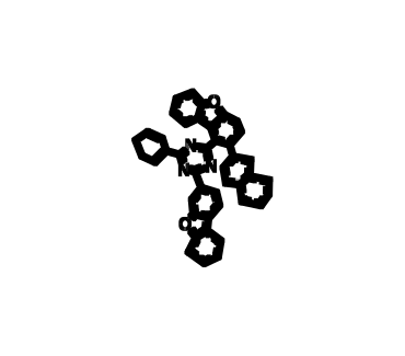 C1=CC(c2nc(-c3ccc4c(c3)oc3ccccc34)nc(-c3c(-c4ccc5ccccc5c4)ccc4oc5ccccc5c34)n2)=CCC1